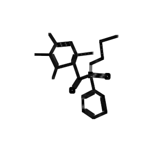 CCCCP(=O)(C(=O)c1c(C)cc(C)c(C)c1C)c1ccccc1